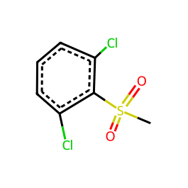 CS(=O)(=O)c1c(Cl)cccc1Cl